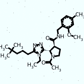 CCn1c(CCCC(C)(C)C)nnc1[C@@H]1[C@@H](C(=O)NCc2ccc(C)cc2OC)CCN1C(C)=O